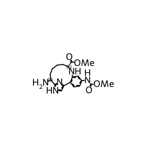 COC(=O)Nc1ccc2c(c1)N[C@H](C(=O)OC)CCCC[C@H](N)c1nc-2c[nH]1